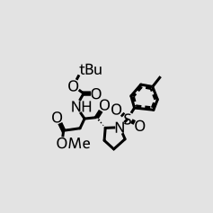 COC(=O)CC(NC(=O)OC(C)(C)C)C(=O)[C@H]1CCCN1S(=O)(=O)c1ccc(C)cc1